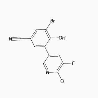 N#Cc1cc(Br)c(O)c(-c2cnc(Cl)c(F)c2)c1